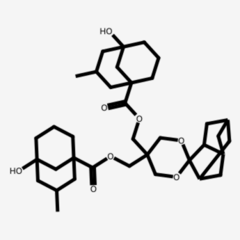 CC1CC2(O)CCCC(C(=O)OCC3(COC(=O)C45CCCC(O)(CC(C)C4)C5)COC4(OC3)C3CC5CC(C3)C4C5)(C1)C2